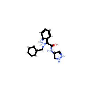 O=C(NC1C=NNC1)c1c2ccccc2nn1CC1CCCCC1